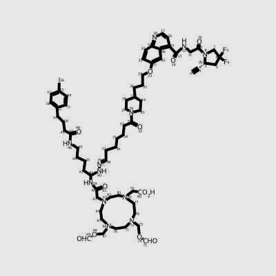 C#C[C@H]1CC(F)(F)CN1C(=O)CNC(=O)c1ccnc2ccc(OCCCC3CCN(C(=O)CCCCC/C=N/NC(CCCCNC(=O)CCCc4ccc(I)cc4)NC(=O)CN4CCN(COC=O)CCN(COC=O)CCN(CC(=O)O)CC4)CC3)cc12